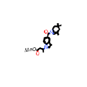 COC(=O)CC(C)n1ccc2cc(C(=O)N3CC4(C)CC3CC(C)(C)C4)ccc21